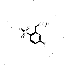 O=C(O)Cc1cc(F)ccc1S(=O)(=O)Cl